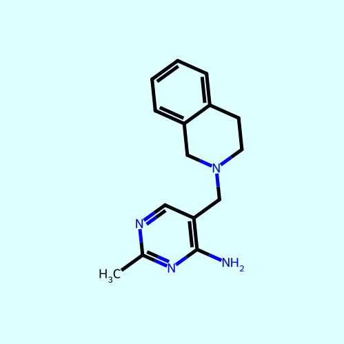 Cc1ncc(CN2CCc3ccccc3C2)c(N)n1